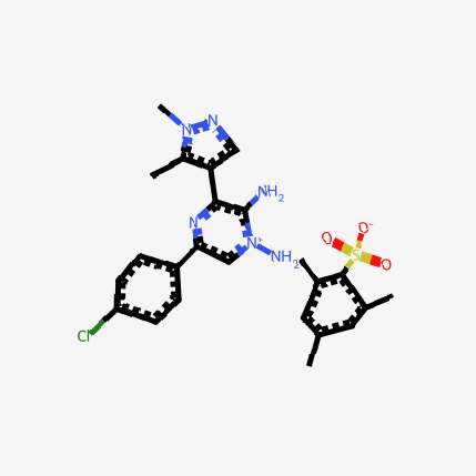 Cc1c(-c2nc(-c3ccc(Cl)cc3)c[n+](N)c2N)cnn1C.Cc1cc(C)c(S(=O)(=O)[O-])c(C)c1